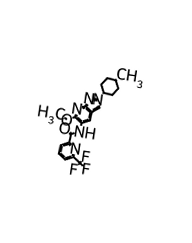 COc1nc2nn([C@H]3CC[C@H](C)CC3)cc2cc1NC(=O)c1cccc(C(F)(F)F)n1